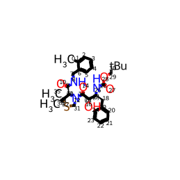 Cc1ccccc1CNC(=O)[C@H]1N(C(=O)[C@@H](O)[C@H](Cc2ccccc2)NC(=O)OCC(C)(C)C)CSC1(C)C